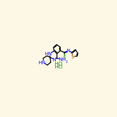 Cl.Cl.NC1=NC2(CCNCC2)Nc2cccc(C(F)=Nc3cccs3)c21